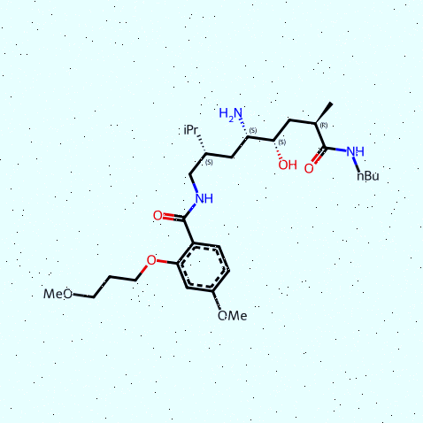 CCCCNC(=O)[C@H](C)C[C@H](O)[C@@H](N)C[C@H](CNC(=O)c1ccc(OC)cc1OCCCOC)C(C)C